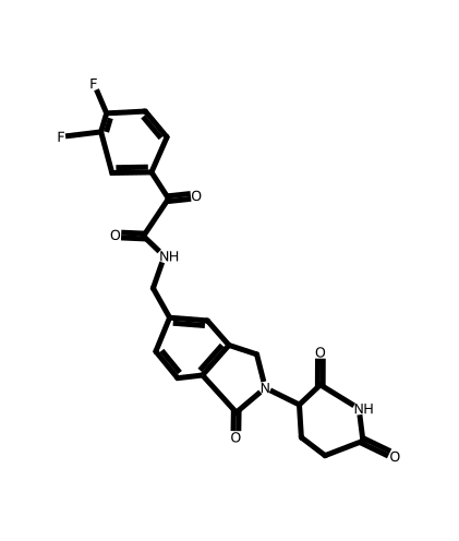 O=C1CCC(N2Cc3cc(CNC(=O)C(=O)c4ccc(F)c(F)c4)ccc3C2=O)C(=O)N1